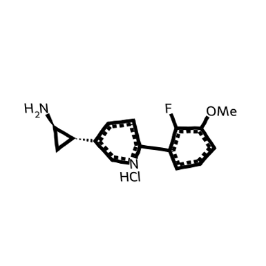 COc1cccc(-c2ccc([C@@H]3C[C@H]3N)cn2)c1F.Cl